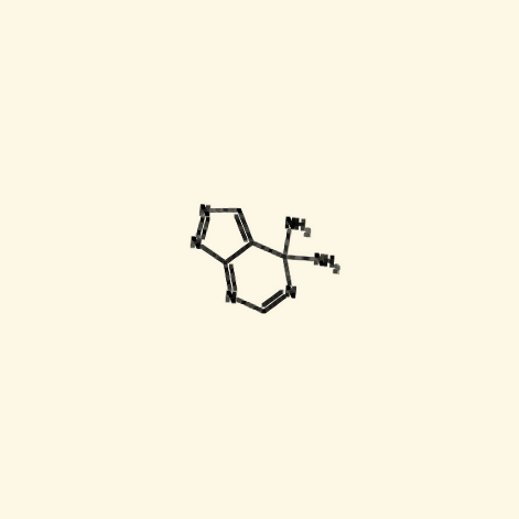 NC1(N)N=CN=C2N=NC=C21